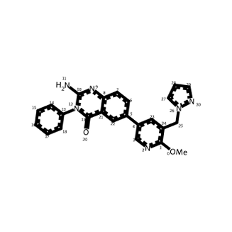 COc1ncc(-c2ccc3nc(N)n(-c4ccccc4)c(=O)c3c2)cc1Cn1cccn1